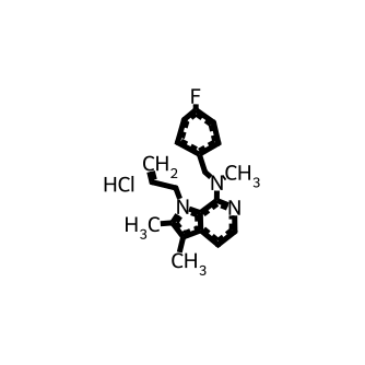 C=CCn1c(C)c(C)c2ccnc(N(C)Cc3ccc(F)cc3)c21.Cl